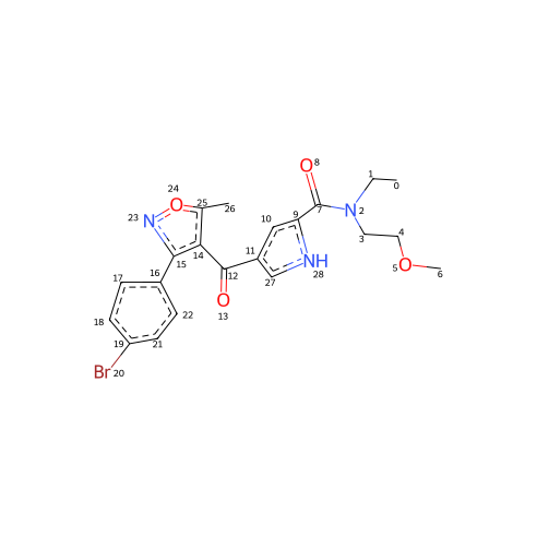 CCN(CCOC)C(=O)c1cc(C(=O)c2c(-c3ccc(Br)cc3)noc2C)c[nH]1